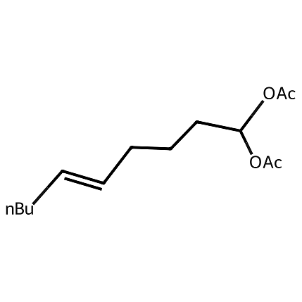 CCCC/C=C/CCCC(OC(C)=O)OC(C)=O